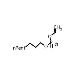 C=CO[PH](=O)OCCCCCCCC